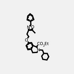 CCOC(=O)C1c2cc(OCCc3nc(-c4ccccc4)oc3C)ccc2CCN1CC1CCCCC1